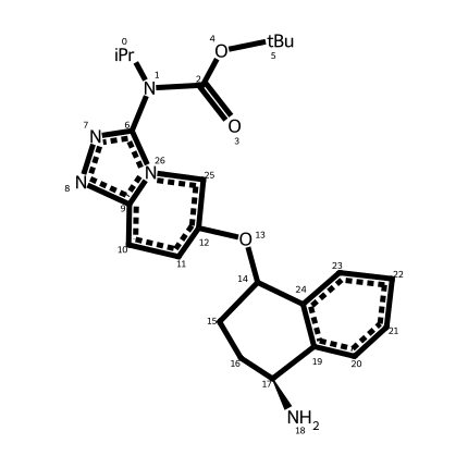 CC(C)N(C(=O)OC(C)(C)C)c1nnc2ccc(OC3CC[C@H](N)c4ccccc43)cn12